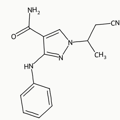 CC(CC#N)n1cc(C(N)=O)c(Nc2ccccc2)n1